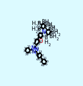 Bc1c(B)c(B)c2c(c1B)c1c(B)c(B)c(B)c(B)c1n2-c1ccc2c(c1)oc1cc(-c3nc(-c4ccccc4)nc(-c4ccc(-c5ccccc5)cc4)n3)ccc12